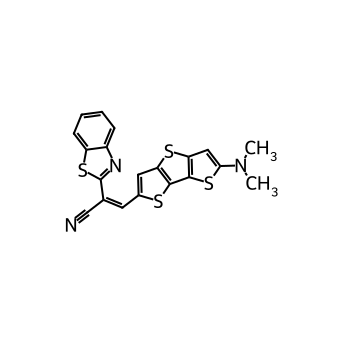 CN(C)c1cc2sc3cc(C=C(C#N)c4nc5ccccc5s4)sc3c2s1